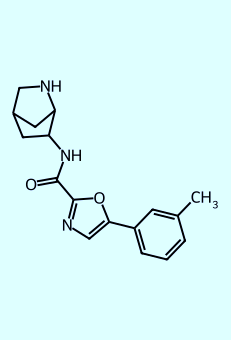 Cc1cccc(-c2cnc(C(=O)NC3CC4CNC3C4)o2)c1